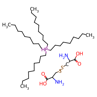 CCCCCCCCC[PH](CCCCCCCCC)(CCCCCCCCC)CCCCCCCCC.NC(CSSCC(N)C(=O)O)C(=O)O